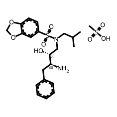 CC(C)CN(C[C@@H](O)[C@@H](N)Cc1ccccc1)S(=O)(=O)c1ccc2c(c1)OCO2.CS(=O)(=O)O